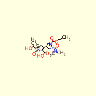 C=CCOC(=O)N1CC(C2=C(C(=O)O)N3C(=O)[C@H]([C@@H](C)O)[C@H]3C2)CN1C(=O)N(C)C